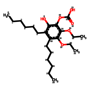 CCCCCCc1c(O)c(OC(=O)O)c(OCC)c(OCC)c1CCCCCC